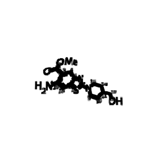 COC(=O)c1cc2nc(N3CCC(CO)CC3)sc2cc1N